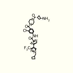 Cn1c(-c2cn(CC3CCC3)nc2C(F)(F)F)cnc1C(=O)Nc1ccc(C(=O)N2CCN(C(=O)[C@H]3C[C@H](N)C3)CC2)c(Cl)c1